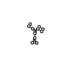 c1ccc(-c2cccc3cccc(-c4cccc(N(c5ccc(-c6ccc(-n7c8ccccc8c8ccccc87)cc6)cc5)c5ccc(-c6cccc7ccccc67)cc5)c4)c23)cc1